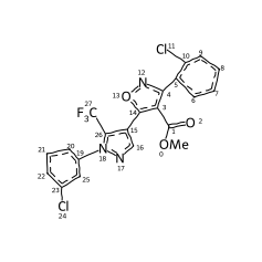 COC(=O)c1c(-c2ccccc2Cl)noc1-c1cnn(-c2cccc(Cl)c2)c1C(F)(F)F